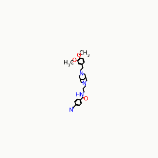 COc1ccc(CCN2CC3CC(CN(CCCNC(=O)c4ccc(C#N)cc4)C3)C2)cc1OC